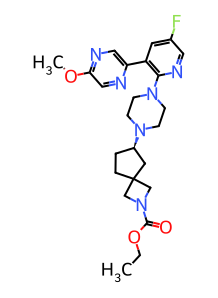 CCOC(=O)N1CC2(CC[C@@H](N3CCN(c4ncc(F)cc4-c4cnc(OC)cn4)CC3)C2)C1